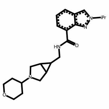 CC(C)n1cc2cccc(C(=O)NCC3C4CN(C5CCOCC5)CC34)c2n1